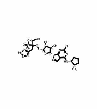 C[C@H]1CCC[C@H]1Nc1nc(Cl)nc2c1cnn2[C@@H]1O[C@H](CO[C@](CO)(Cc2nn[nH]n2)P(=O)(O)O)[C@@H](O)[C@H]1O